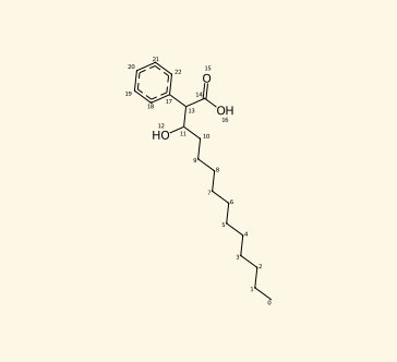 CCCCCCCCCCCC(O)C(C(=O)O)c1ccccc1